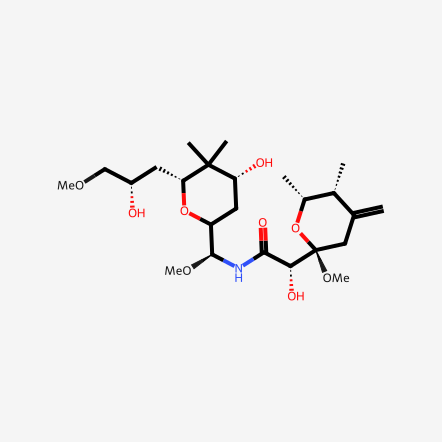 C=C1C[C@](OC)([C@H](O)C(=O)N[C@@H](OC)C2C[C@@H](O)C(C)(C)[C@@H](C[C@H](O)COC)O2)O[C@H](C)[C@@H]1C